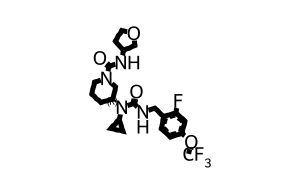 O=C(NC1CCOC1)N1CCC[C@@H](N(C(=O)NCc2ccc(OC(F)(F)F)cc2F)C2CC2)C1